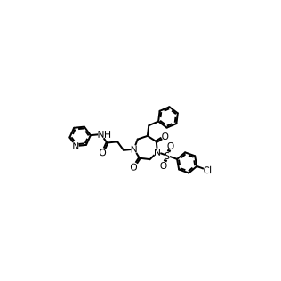 O=C(CCN1CC(Cc2ccccc2)C(=O)N(S(=O)(=O)c2ccc(Cl)cc2)CC1=O)Nc1cccnc1